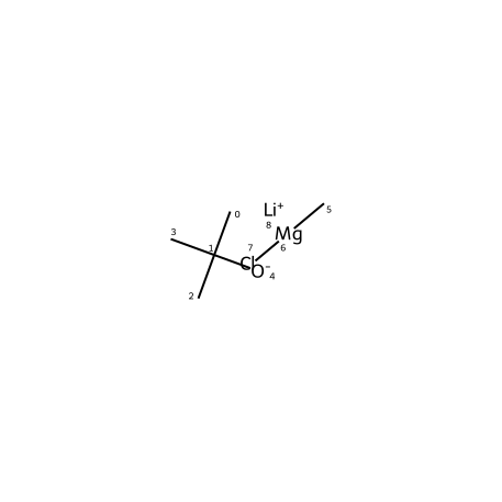 CC(C)(C)[O-].[CH3][Mg][Cl].[Li+]